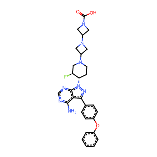 Nc1ncnc2c1c(-c1ccc(Oc3ccccc3)cc1)nn2[C@H]1CCN(C2CN(C3CN(C(=O)O)C3)C2)C[C@@H]1F